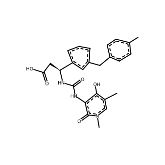 Cc1ccc(Cc2cccc([C@H](CC(=O)O)NC(=O)Nc3c(O)c(C)cn(C)c3=O)c2)cc1